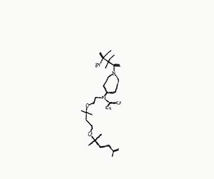 C=C(C)CCC(C)(C)OCCC(C)(C)OCCN(C(=O)CC)C1CCN(C(=C)C(C)(C)C(C)(C)C(C)C)CC1